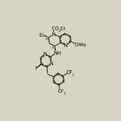 CCOC(=O)N1c2ccc(OC)nc2[C@@H](Nc2ncc(I)c(Cc3cc(C(F)(F)F)cc(C(F)(F)F)c3)n2)C[C@H]1CC